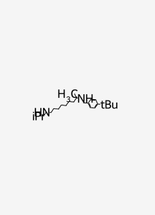 CC(C)NCCCCCCCC(C)NCc1ccc(C(C)(C)C)cc1